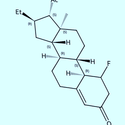 CC[C@@H]1C[C@H]2[C@@H]3CCC4=CC(=O)CC(F)[C@@H]4[C@H]3CC[C@]2(C)[C@H]1C(C)=O